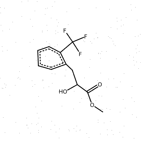 COC(=O)C(O)Cc1ccccc1C(F)(F)F